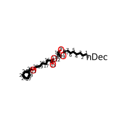 CCCCCCCCCCCCCCCCC[C@@H]1OC[C@@H](COC(=O)CCCCCOCc2ccccc2)O1